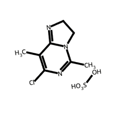 CC1=NC(Cl)=C(C)C2=NCCN12.O=S(=O)(O)O